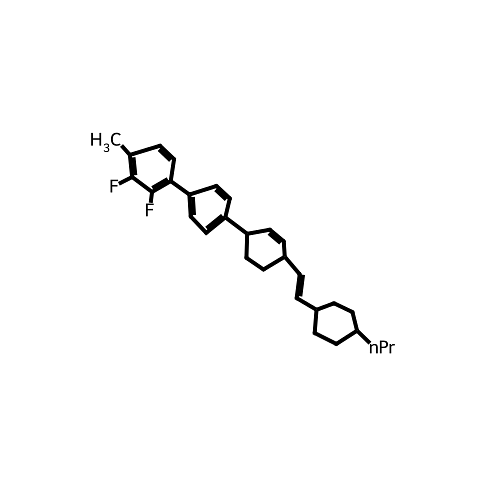 CCCC1CCC(/C=C/C2C=CC(c3ccc(-c4ccc(C)c(F)c4F)cc3)CC2)CC1